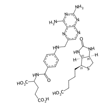 Nc1nc(N)c2nc(CNc3ccc(C(=O)NC(CCC(=O)O)C(=O)O)cc3)cnc2n1.O=C(O)CCCC[C@@H]1SC[C@@H]2NC(=O)N[C@@H]21